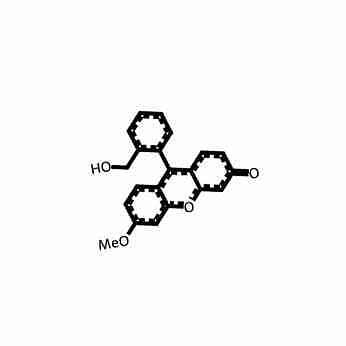 COc1ccc2c(-c3ccccc3CO)c3ccc(=O)cc-3oc2c1